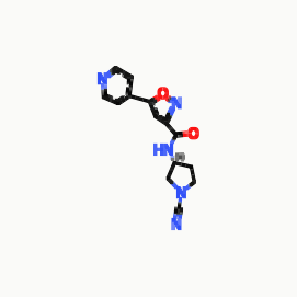 N#CN1CC[C@@H](NC(=O)c2cc(-c3ccncc3)on2)C1